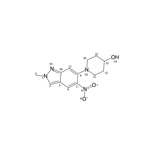 Cn1cc2cc([N+](=O)[O-])c(N3CCC(O)CC3)cc2n1